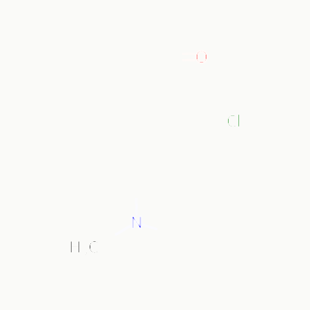 Cn1ccc2c(Cl)c(C=O)ccc21